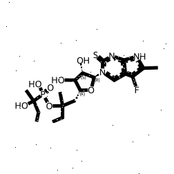 CCC(C)(C[C@H]1O[C@@H](n2cc3c(F)c(C)[nH]c3nc2=S)[C@@H](O)C1O)OP(=O)(O)C(C)(O)CC